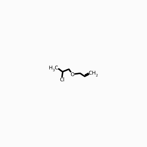 C=CCOCC(C)Cl